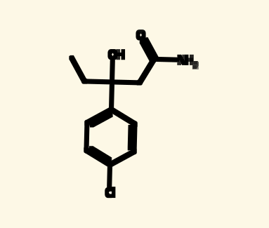 CCC(O)(CC(N)=O)c1ccc(Cl)cc1